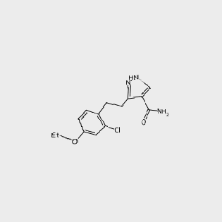 CCOc1ccc(CCc2n[nH]cc2C(N)=O)c(Cl)c1